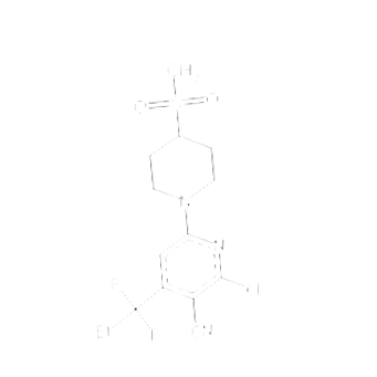 CCC(F)(F)c1cc(N2CCC(S(C)(=O)=O)CC2)nc(Cl)c1C#N